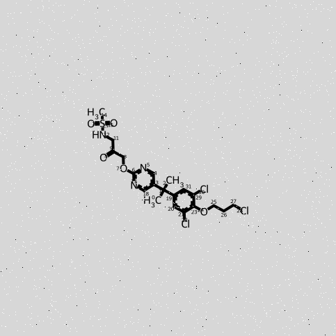 CC(C)(c1cnc(OCC(=O)CNS(C)(=O)=O)nc1)c1cc(Cl)c(OCCCCl)c(Cl)c1